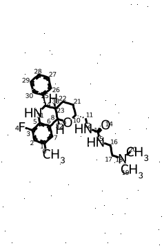 Cc1cc(F)c2c(c1)[C@H]1O[C@@H](CNC(=O)NCCN(C)C)CC[C@H]1[C@H](c1ccccc1)N2